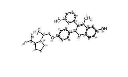 CC1=C(c2cccc(O)c2)C(c2ccc(OCC(C)N3CCCC3C(F)F)cc2)Oc2ccc(O)cc21